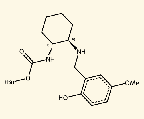 COc1ccc(O)c(CN[C@@H]2CCCC[C@H]2NC(=O)OC(C)(C)C)c1